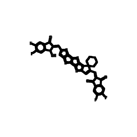 O=C1C(=CC2=Cc3sc4c(sc5c6sc(/C=C7/C(=O)c8cc(F)c(F)cc8C7O)cc6sc45)c3C23CCCCC3)C(=O)c2cc(F)c(F)cc21